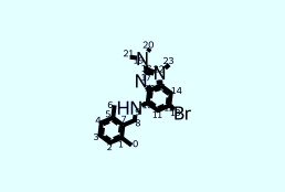 Cc1cccc(C)c1CNc1cc(Br)cc2c1nc(N(C)C)n2C